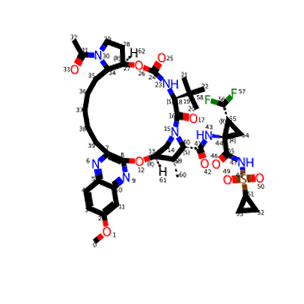 COc1ccc2nc3c(nc2c1)O[C@H]1CN(C(=O)[C@H](C(C)(C)C)NC(=O)O[C@@H]2CCN(C(C)=O)C2CCCCC3)[C@H](C(=O)N[C@]2(C(=O)NS(=O)(=O)C3CC3)C[C@H]2C(F)F)[C@@H]1C